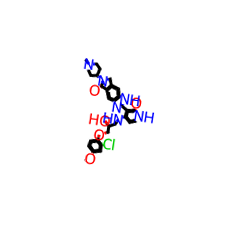 COc1ccc(OCC(O)CNc2cc[nH]c(=O)c2-c2nc3cc4c(cc3[nH]2)CN(C2CCN(C)CC2)C4=O)c(Cl)c1